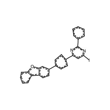 Ic1cc(-c2ccc(-c3ccc4c(c3)oc3ccccc34)cc2)nc(-c2ccccc2)n1